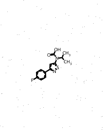 CC(C)N(C(=O)O)c1cc(-c2ccc(F)cc2)ns1